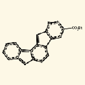 CCOC(=O)c1cc2c(nn1)C=c1c-2ccc2c1=c1ccccc1=C2